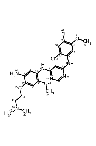 COc1cc(Nc2cc(Nc3cc(N)c(OCCN(C)C)cc3OC)ncn2)c(Cl)cc1Cl